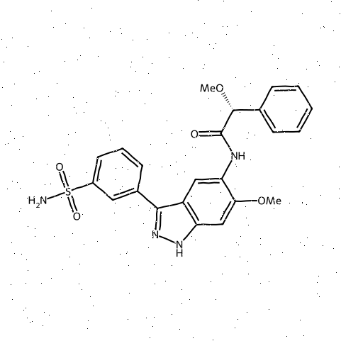 COc1cc2[nH]nc(-c3cccc(S(N)(=O)=O)c3)c2cc1NC(=O)[C@H](OC)c1ccccc1